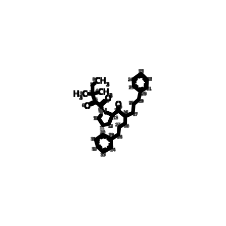 CCC(C)(C)C(=O)C(=O)N1CCCC1C(=O)C(CCCc1ccccc1)CCCc1ccccc1